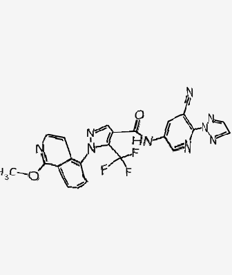 COc1nccc2c(-n3ncc(C(=O)Nc4cnc(-n5nccn5)c(C#N)c4)c3C(F)(F)F)cccc12